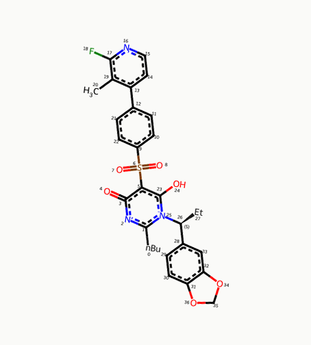 CCCCc1nc(=O)c(S(=O)(=O)c2ccc(-c3ccnc(F)c3C)cc2)c(O)n1[C@@H](CC)c1ccc2c(c1)OCO2